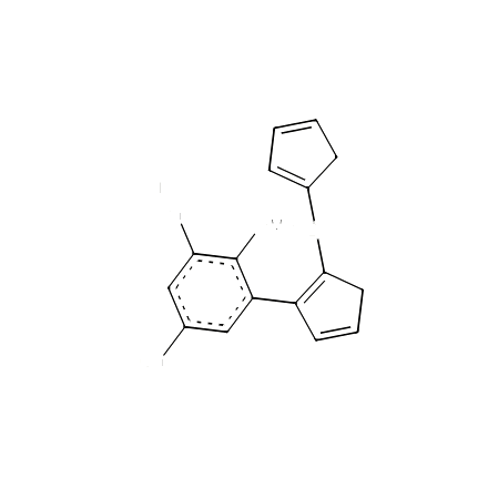 COc1c(C2=[C]([Zr+2][C]3=CC=CC3)CC=C2)cc(C(C)(C)C)cc1C(C)(C)C.[Cl-].[Cl-]